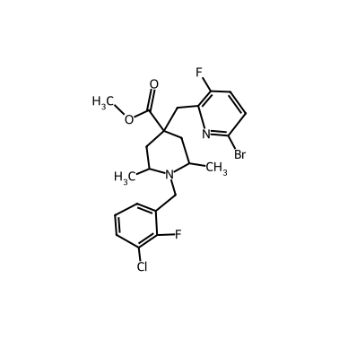 COC(=O)C1(Cc2nc(Br)ccc2F)CC(C)N(Cc2cccc(Cl)c2F)C(C)C1